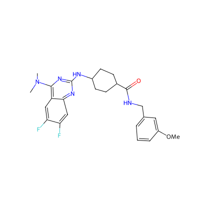 COc1cccc(CNC(=O)C2CCC(Nc3nc(N(C)C)c4cc(F)c(F)cc4n3)CC2)c1